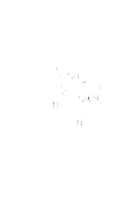 CC(C)C[C@H](NS(=O)(=O)Cc1ccccc1)C(=O)NC1CN(Cc2ccccc2)CC1O